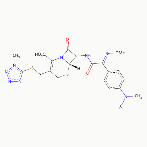 CON=C(C(=O)NC1C(=O)N2C(C(=O)O)=C(CSc3nnnn3C)CS[C@@H]12)c1ccc(N(C)C)cc1